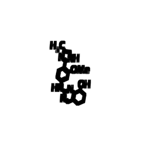 COc1cc(Nc2ncc3c(n2)C(O)CCC3)ccc1-c1nc(C)c[nH]1